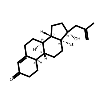 C=C(C)C[C@]1(O)CC[C@H]2[C@@H]3CCC4=CC(=O)CC[C@@H]4[C@H]3CC[C@@]21CC